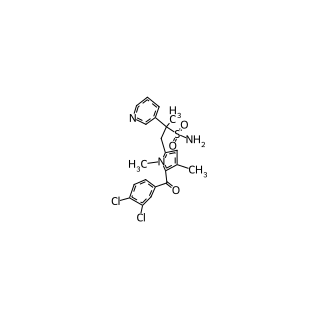 Cc1cc(CC(C)(c2cccnc2)S(N)(=O)=O)n(C)c1C(=O)c1ccc(Cl)c(Cl)c1